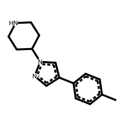 Cc1ccc(-c2cnn(C3CCNCC3)c2)cc1